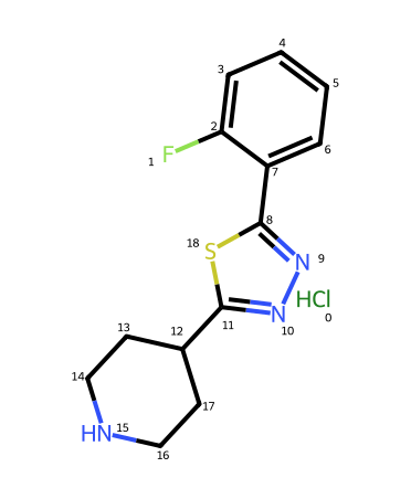 Cl.Fc1ccccc1-c1nnc(C2CCNCC2)s1